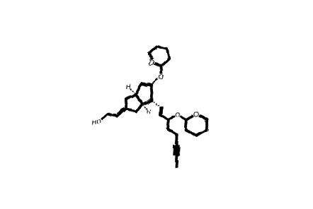 CC#CCCC(C=C[C@@H]1[C@H]2CC(=CCO)C[C@H]2C[C@H]1OC1CCCCO1)OC1CCCCO1